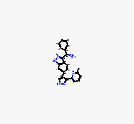 Cc1cccc(-c2n[nH]cc2-c2ccc3c(C(N)c4ccccc4)n[nH]c3c2)n1